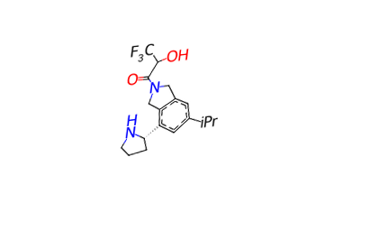 CC(C)c1cc2c(c([C@@H]3CCCN3)c1)CN(C(=O)C(O)C(F)(F)F)C2